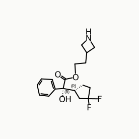 O=C(OCCC1CNC1)[C@](O)(c1ccccc1)[C@@H]1CCC(F)(F)C1